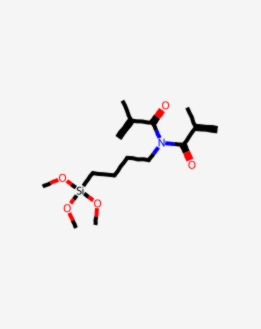 C=C(C)C(=O)N(CCCC[Si](OC)(OC)OC)C(=O)C(=C)C